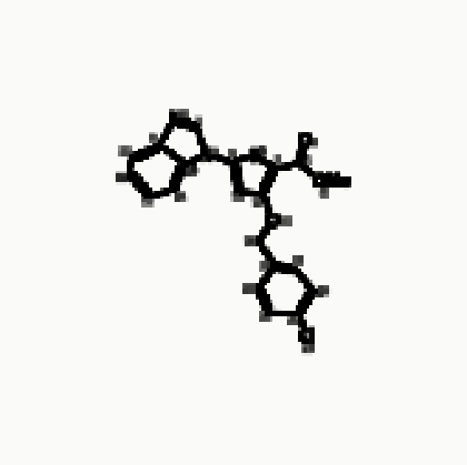 COC(=O)c1sc(-n2cnc3ccccc32)cc1OCc1ccc(Cl)cc1